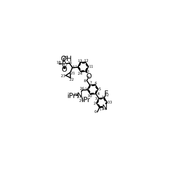 Cc1cc(-c2ccc(COc3cccc(C(CP(C)(=O)O)C4CC4)c3)c(CN(C(C)C)C(C)C)c2)c(F)cn1